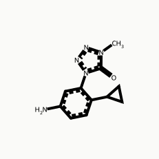 Cn1nnn(-c2cc(N)ccc2C2CC2)c1=O